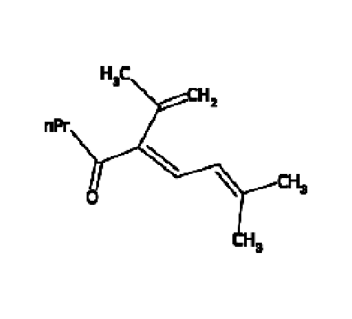 C=C(C)/C(=C\C=C(C)C)C(=O)CCC